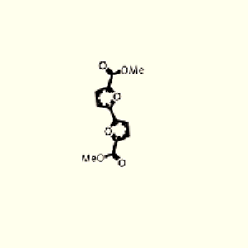 COC(=O)c1ccc(-c2ccc(C(=O)OC)o2)o1